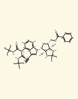 C#Cc1cn([C@@H]2S[C@H](COC(=O)c3ccccc3)[C@H]3OC(C)(C)O[C@H]32)c2ncnc(N(C(=O)OC(C)(C)C)C(=O)OC(C)(C)C)c12